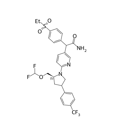 CCS(=O)(=O)c1ccc(C(C(N)=O)c2ccc(N3CC(c4ccc(C(F)(F)F)cc4)C[C@H]3COC(F)F)nc2)cc1